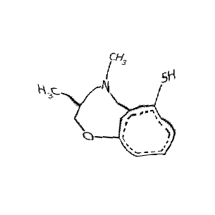 CC1Oc2cccc(S)c2N1C